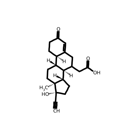 C#C[C@]1(O)CC[C@H]2[C@@H]3C(CC(=O)O)CC4=CC(=O)CC[C@@H]4[C@H]3CC[C@@]21C